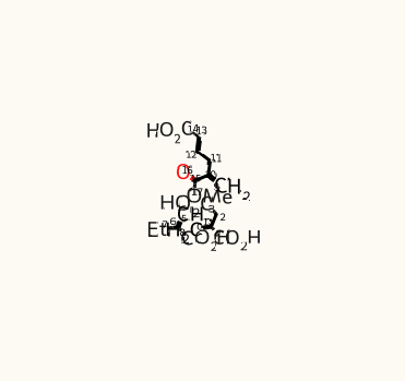 C=C(CC(=O)O)C(=O)O.C=C(CC)C(=O)O.C=C(CC=CC(=O)O)C(=O)OC